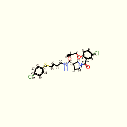 C#CCOc1ccc(Cl)cc1C(=O)N1CC[C@H](C(=O)NCC/C=C/Sc2ccc(Cl)cc2)C1